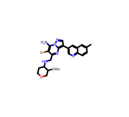 COC1COCCC1NCc1nc2c(-c3cnc4ccc(C)cc4c3)cnn2c(N)c1Br